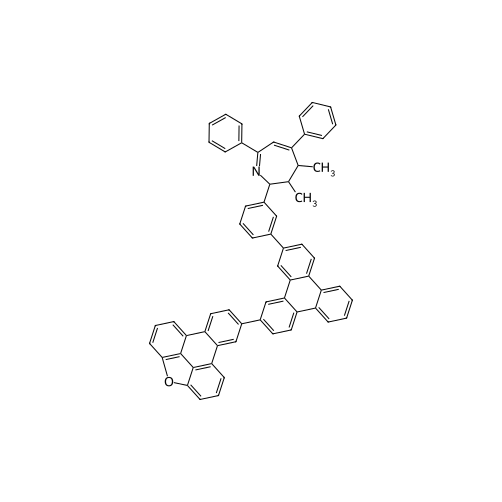 CC1C(c2ccccc2)=CC(c2ccccc2)=NC(c2cccc(-c3ccc4c5ccccc5c5ccc(-c6ccc7c(c6)c6cccc8oc9cccc7c9c86)cc5c4c3)c2)C1C